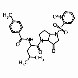 Cc1ccc(C(=O)NC(CC(C)C)C(=O)N2CCC3C2C(=O)CN3S(=O)(=O)c2cccc[n+]2[O-])cc1